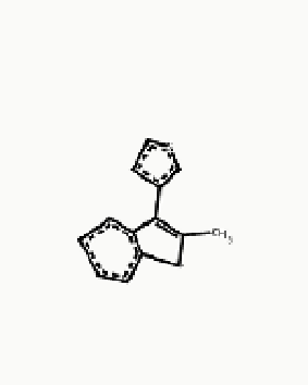 CC1=C(c2ccsc2)c2ccccc2[CH]1